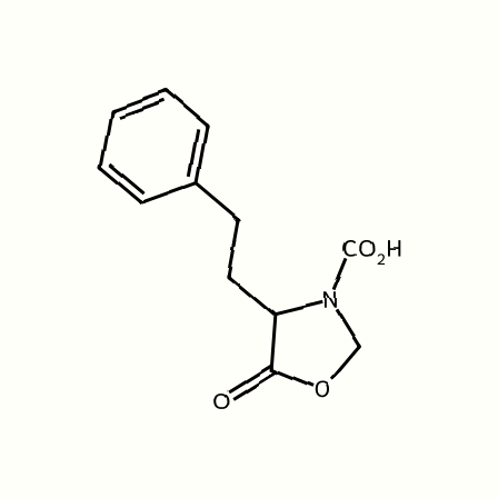 O=C1OCN(C(=O)O)C1CCc1ccccc1